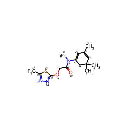 CC1=CC(C)(C)CC(N(C(=O)COc2nnc(C(F)(F)F)s2)C(C)C)=C1